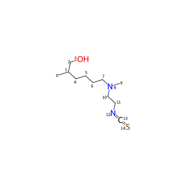 CC(CO)CCCCN(C)CCN=C=S